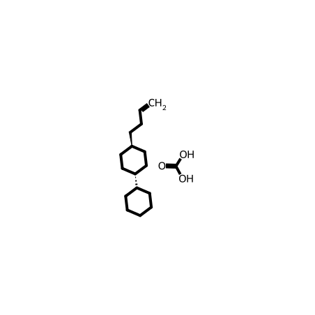 C=CCC[C@H]1CC[C@H](C2CCCCC2)CC1.O=C(O)O